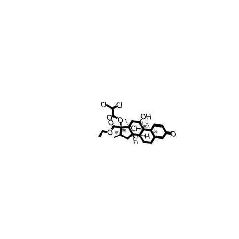 CCOC(=O)[C@@]1(OC(=O)C(Cl)Cl)[C@H](C)C[C@H]2[C@@H]3CCC4=CC(=O)C=C[C@]4(C)[C@@]3(Cl)[C@@H](O)C[C@@]21C